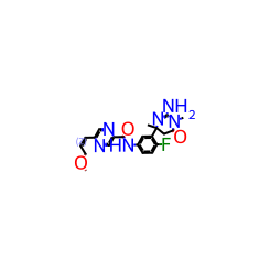 COC/C=C\c1cnc(C(=O)Nc2ccc(F)c(C3(C)CC(=O)N(C)C(N)=N3)c2)cn1